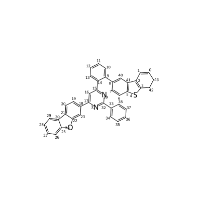 C1=Cc2c(sc3ccc(-c4ccccc4-c4cc(-c5ccc6c(c5)oc5ccccc56)nc(-c5ccccc5)n4)cc23)CC1